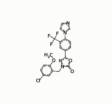 COc1ccc(Cl)cc1Cn1nc(-c2ccc(-n3ccnc3)c(C(F)(F)F)c2)oc1=O